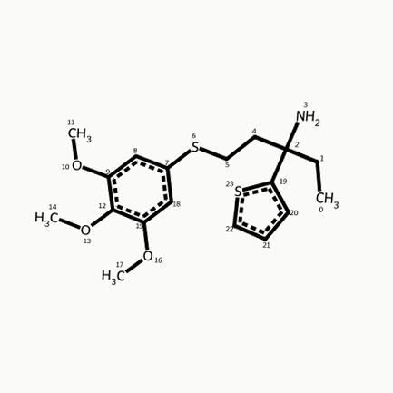 CCC(N)(CCSc1cc(OC)c(OC)c(OC)c1)c1cccs1